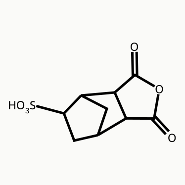 O=C1OC(=O)C2C3CC(CC3S(=O)(=O)O)C12